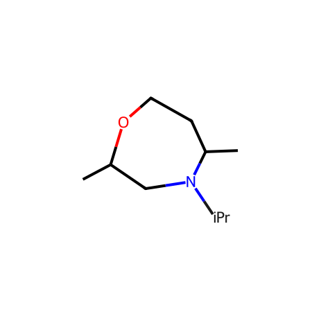 CC1CN(C(C)C)C(C)CCO1